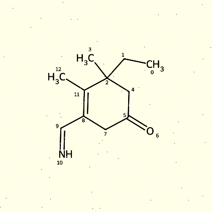 CCC1(C)CC(=O)CC(C=N)=C1C